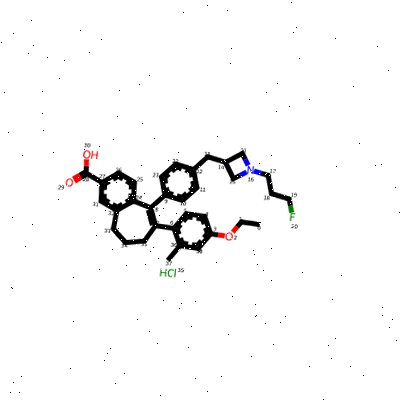 CCOc1ccc(C2=C(c3ccc(CC4CN(CCCF)C4)cc3)c3ccc(C(=O)O)cc3CCC2)c(C)c1.Cl